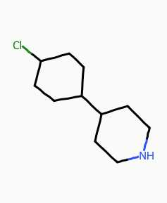 ClC1CCC(C2CCNCC2)CC1